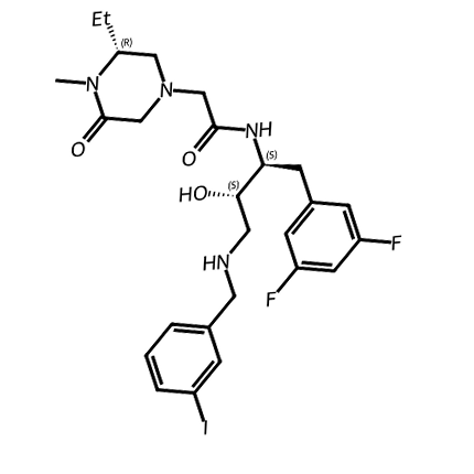 CC[C@@H]1CN(CC(=O)N[C@@H](Cc2cc(F)cc(F)c2)[C@@H](O)CNCc2cccc(I)c2)CC(=O)N1C